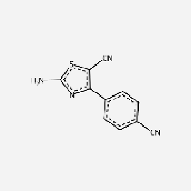 N#Cc1ccc(-c2nc(N)sc2C#N)cc1